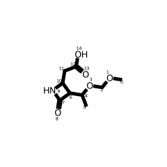 COCOC(C)C1C(=O)NC1CC(=O)O